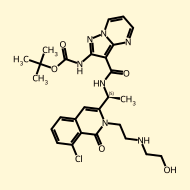 C[C@H](NC(=O)c1c(NC(=O)OC(C)(C)C)nn2cccnc12)c1cc2cccc(Cl)c2c(=O)n1CCNCCO